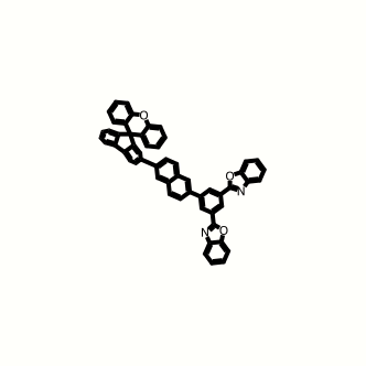 c1ccc2c(c1)Oc1ccccc1C21c2ccccc2-c2ccc(-c3ccc4cc(-c5cc(-c6nc7ccccc7o6)cc(-c6nc7ccccc7o6)c5)ccc4c3)cc21